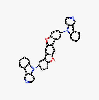 c1ccc2c(c1)c1cnccc1n2-c1ccc2oc3cc4c(cc3c2c1)oc1ccc(-n2c3ccccc3c3cnccc32)cc14